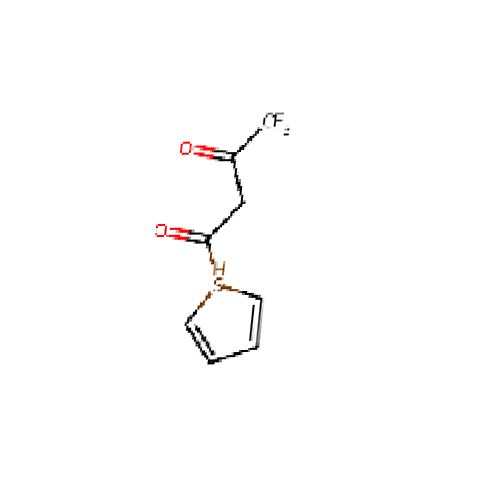 O=C(CC(=O)C(F)(F)F)[SH]1C=CC=C1